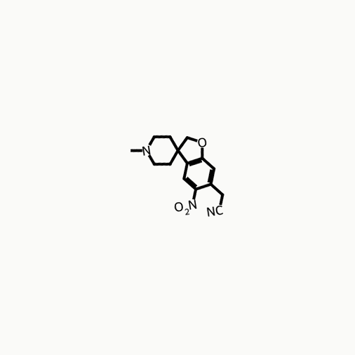 CN1CCC2(CC1)COc1cc(CC#N)c([N+](=O)[O-])cc12